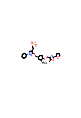 COc1cc(COc2nn(-c3ccccc3)cc2/C=C/S(C)(=O)=O)ccc1OCc1nc(-c2ccco2)oc1C